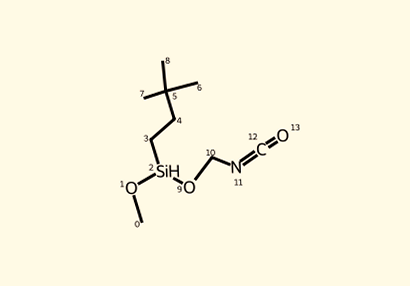 CO[SiH](CCC(C)(C)C)OCN=C=O